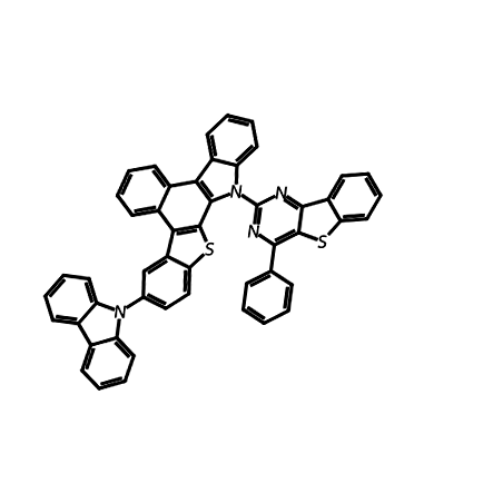 c1ccc(-c2nc(-n3c4ccccc4c4c5ccccc5c5c6cc(-n7c8ccccc8c8ccccc87)ccc6sc5c43)nc3c2sc2ccccc23)cc1